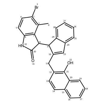 Cc1c(Br)ccc2c1C(C1C(Cc3ccc4ccccc4c3O)=Cc3ccccc31)C(=O)N2